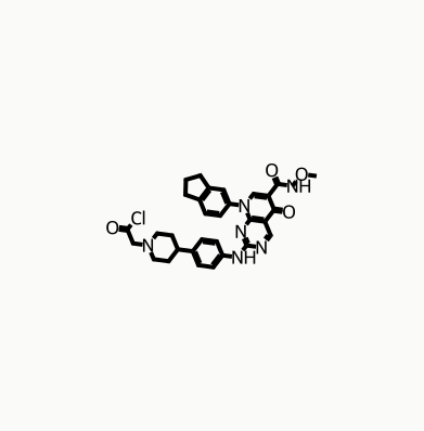 CONC(=O)c1cn(-c2ccc3c(c2)CCC3)c2nc(Nc3ccc(C4CCN(CC(=O)Cl)CC4)cc3)ncc2c1=O